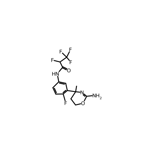 CC1(c2cc(NC(=O)C(F)C(F)(F)F)ccc2F)CCOC(N)=N1